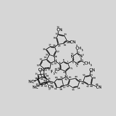 Cc1nc(C)nc(-c2cc(-n3c4cc(-c5cc(C#N)cc(C#N)c5)ccc4c4ccc(-c5cc(C#N)cc(C#N)c5)cc43)c(C(F)(F)F)c(-n3c4cc(-c5cc(C#N)cc(C#N)c5)ccc4c4ccc(-c5cc(C#N)cc(C#N)c5)cc43)c2)n1